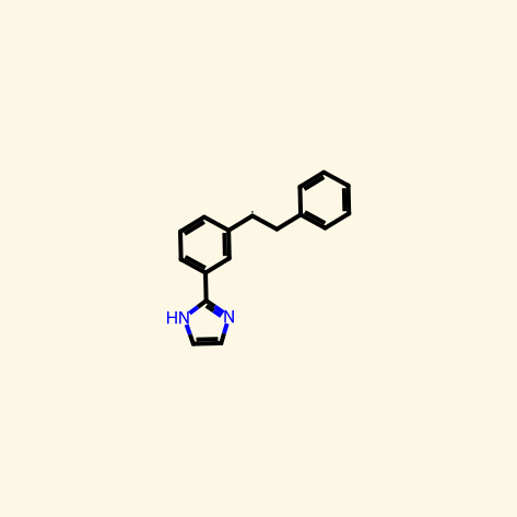 [CH](Cc1ccccc1)c1cccc(-c2ncc[nH]2)c1